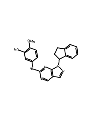 COc1ccc(Nc2ncc3cnn(C4CCc5ccccc54)c3n2)cc1O